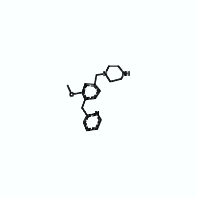 COc1cc(CN2CCNCC2)ccc1Cc1ccccn1